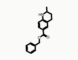 CC1CCc2cc(C(=O)OCc3ccccc3)ccc2N1